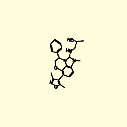 Cc1noc(C)c1-c1ccc2c3c1OCC(c1ccccc1)N3C(NCC(C)O)N2C